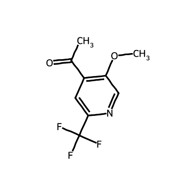 COc1cnc(C(F)(F)F)cc1C(C)=O